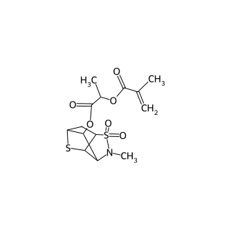 C=C(C)C(=O)OC(C)C(=O)OC1C2CC3C(S2)C1N(C)S3(=O)=O